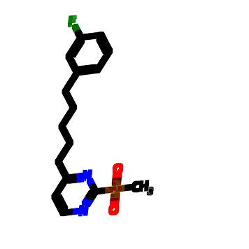 CS(=O)(=O)c1nccc(CCCCCc2cccc(F)c2)n1